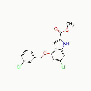 COC(=O)c1cc2c(OCc3cccc(Cl)c3)cc(Cl)cc2[nH]1